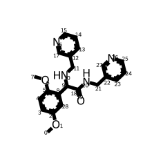 COc1ccc(OC)c(C(NCc2cccnc2)C(=O)NCc2cccnc2)c1